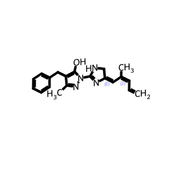 C=C/C=C(C)\C=C1/CNC(n2nc(C)c(Cc3ccccc3)c2O)=N1